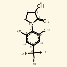 O=C1C(O)CCN1c1c(F)cc(C(F)(F)F)cc1Cl